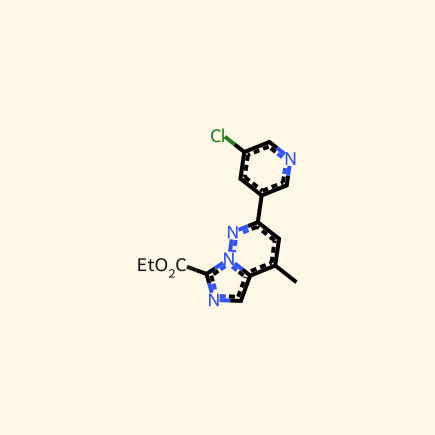 CCOC(=O)c1ncc2c(C)cc(-c3cncc(Cl)c3)nn12